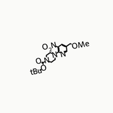 COCc1cnc(N2CCN(C(=O)OC(C)(C)C)CC2)c([N+](=O)[O-])c1